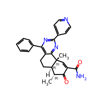 C[C@H]1C(=O)C(C(N)=O)=C[C@@]2(C)c3nc(-c4ccncc4)nc(-c4ccccc4)c3CC[C@H]12